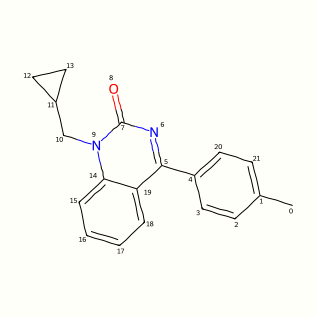 Cc1ccc(-c2nc(=O)n(CC3CC3)c3ccccc23)cc1